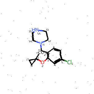 O=C(O)C1(Oc2cc(Cl)ccc2CN2CCNCC2)CC1